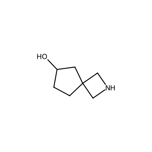 OC1CCC2(CNC2)C1